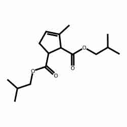 CC1=CCC(C(=O)OCC(C)C)C1C(=O)OCC(C)C